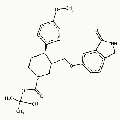 COc1ccc([C@@H]2CCN(C(=O)OC(C)(C)C)CC2COc2ccc3c(c2)C(=O)NC3)cc1